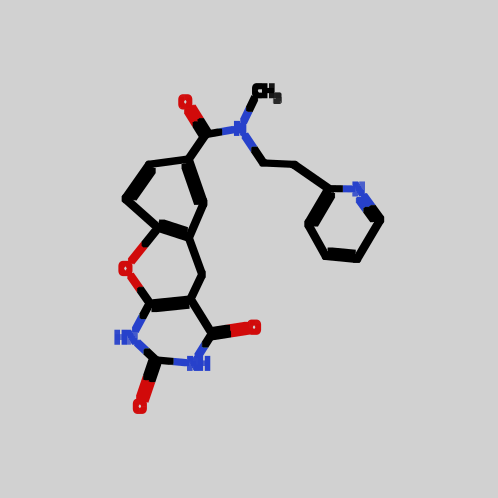 CN(CCc1ccccn1)C(=O)c1ccc2c(c1)Cc1c([nH]c(=O)[nH]c1=O)O2